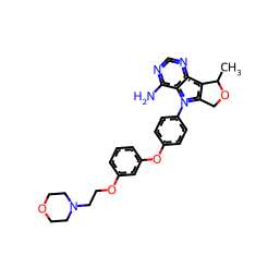 CC1OCc2c1c1ncnc(N)c1n2-c1ccc(Oc2cccc(OCCN3CCOCC3)c2)cc1